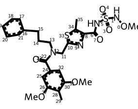 CONS(=O)(=O)NC(=O)c1nc(CN(CCCc2ccccc2)C(=O)c2cc(OC)c(C)c(OC)c2)sc1C